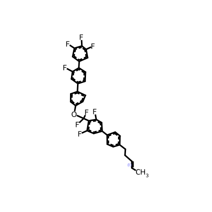 C/C=C/CCc1ccc(-c2cc(F)c(C(F)(F)Oc3ccc(-c4ccc(-c5cc(F)c(F)c(F)c5)c(F)c4)cc3)c(F)c2)cc1